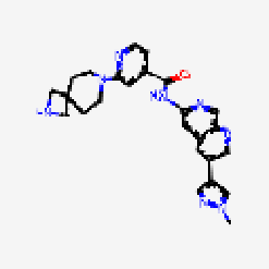 Cn1cc(-c2cnc3cnc(NC(=O)c4ccnc(N5CCC6(CC5)CNC6)c4)cc3c2)cn1